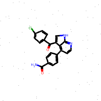 NC(=O)c1ccc(-c2ccnc3[nH]cc(C(=O)c4ccc(Cl)cc4)c23)cc1